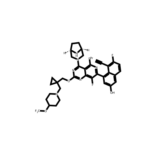 C#Cc1c(F)ccc2cc(O)cc(-c3nc(CCC)c4c(N5C[C@H]6CC[C@@H](C5)N6)nc(OCC5(CN6CCC(OC(F)(F)F)CC6)CC5)nc4c3F)c12